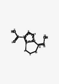 O=C(O)c1csc2c1CCC/C2=N/O